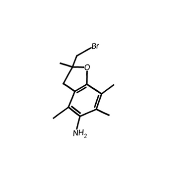 Cc1c(C)c2c(c(C)c1N)CC(C)(CBr)O2